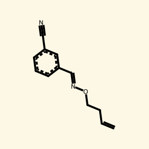 C=CCCON=[C]c1cccc(C#N)c1